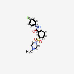 CN1CCN(S(=O)(=O)C2=CC(C(=O)Nc3ccc(F)cc3)=CCC=C2)CC1